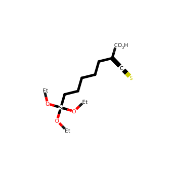 CCO[Si](CCCCCC(=C=S)C(=O)O)(OCC)OCC